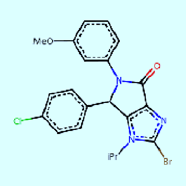 COc1cccc(N2C(=O)c3nc(Br)n(C(C)C)c3C2c2ccc(Cl)cc2)c1